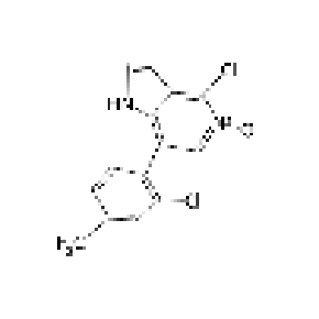 [O-][n+]1cc(-c2ccc(C(F)(F)F)cc2Cl)c2[nH]ccc2c1Cl